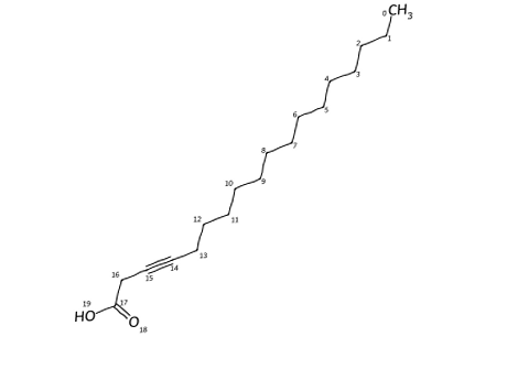 CCCCCCCCCCCCCCC#CCC(=O)O